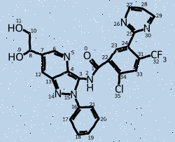 O=C(Nc1c2ncc(C(O)CO)cc2nn1-c1ccccc1)c1cc(-c2ncccn2)c(C(F)(F)F)cc1Cl